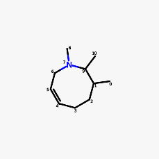 CC1CC/C=C\CN(C)C1C